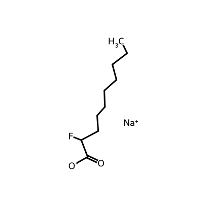 CCCCCCCCC(F)C(=O)[O-].[Na+]